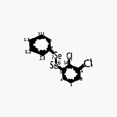 Clc1cccc([Se][Se]c2ccccc2)c1Cl